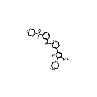 Nc1cc(-c2ccnc(Nc3cccc(S(=O)(=O)N4CCOCC4)c3)c2)[nH]c1N1CCNCC1